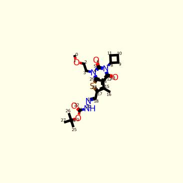 COCCn1c(=O)n(C2CCC2)c(=O)c2c(C)c(/C=N/NC(=O)OC(C)(C)C)sc21